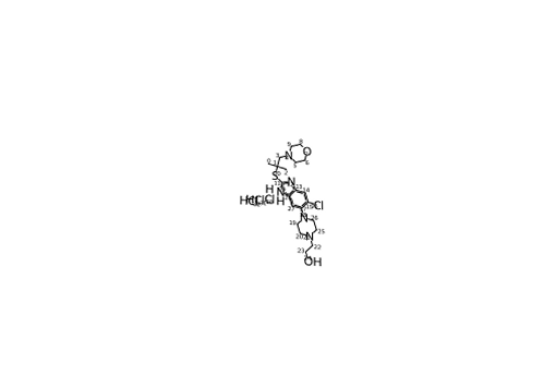 CC(C)(CN1CCOCC1)Sc1nc2cc(Cl)c(N3CCN(CCO)CC3)cc2[nH]1.Cl.Cl.Cl